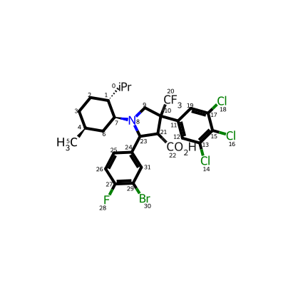 CC(C)[C@H]1CC[C@H](C)C[C@@H]1N1CC(c2cc(Cl)c(Cl)c(Cl)c2)(C(F)(F)F)C(C(=O)O)C1c1ccc(F)c(Br)c1